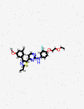 CCOCCOc1ccc(Nc2nccc(-c3sc(CC)nc3-c3cc(C)cc(OC)c3)n2)cc1F